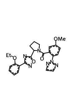 CCOc1ccccc1-c1noc(C2CCCN2C(=O)c2cc(OC)ccc2-n2nccn2)n1